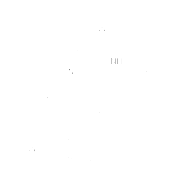 COc1ccc(C2=NCC(=O)Nc3c2ccc2ccccc32)cc1OC